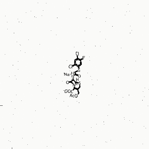 CC(=O)OCC1=C(C(=O)[O-])N2C(=O)[C@@H](NC(=O)CSc3cc(F)c(Cl)cc3Cl)[C@H]2SC1.[Na+]